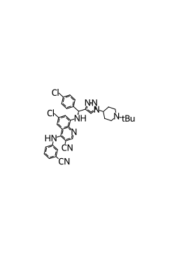 CC(C)(C)N1CCC(n2cc([C@@H](Nc3cc(Cl)cc4c(Nc5cccc(C#N)c5)c(C#N)cnc34)c3ccc(Cl)cc3)nn2)CC1